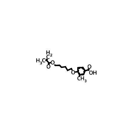 C=C(C)C(=O)OCCCCCCOc1ccc(C(=O)O)cc1C